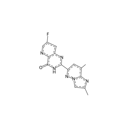 Cc1cn2nc(-c3nc4cc(F)cnc4c(=O)[nH]3)cc(C)c2n1